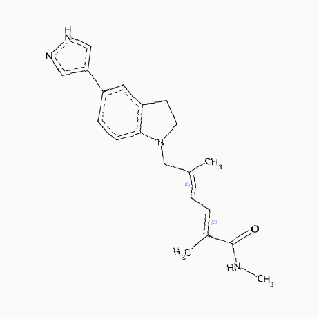 CNC(=O)/C(C)=C/C=C(\C)CN1CCc2cc(-c3cn[nH]c3)ccc21